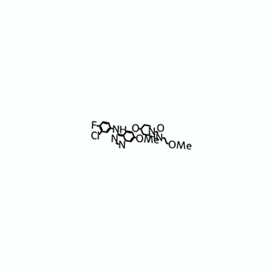 COCCNC(=O)N1CCC(Oc2cc3c(Nc4ccc(F)c(Cl)c4)ncnc3cc2OC)CC1